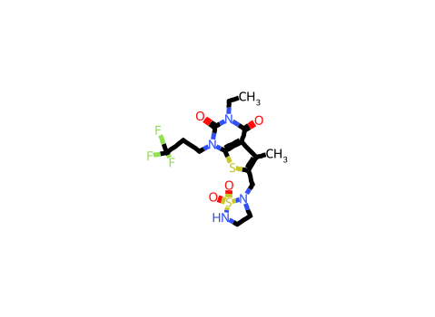 CCn1c(=O)c2c(C)c(CN3CCNS3(=O)=O)sc2n(CCC(F)(F)F)c1=O